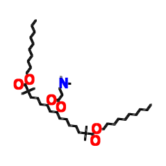 CCCCCCCCCCOC(=O)C(C)(C)CCCCCC(CCCCCC(C)(C)C(=O)OCCCCCCCCCC)OC(=O)CCN(C)C